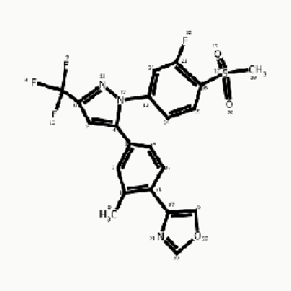 Cc1cc(-c2cc(C(F)(F)F)nn2-c2ccc(S(C)(=O)=O)c(F)c2)ccc1-c1cocn1